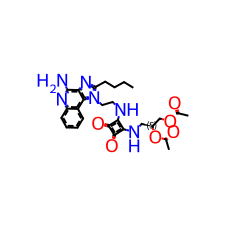 CCCCc1nc2c(N)nc3ccccc3c2n1CCNc1c(NC[C@@H](COC(C)=O)OC(C)=O)c(=O)c1=O